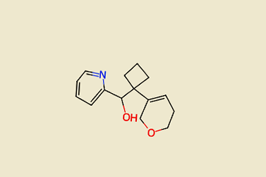 OC(c1ccccn1)C1(C2=CCCOC2)CCC1